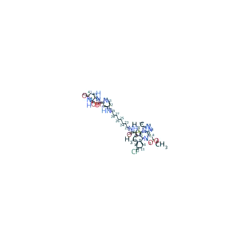 COC(=O)C[C@@H]1N=C(c2ccc(Cl)cc2)c2c(sc(C(=O)NCCCCCCCCNc3ccnc(C(=O)NC4CCC(=O)NC4O)c3)c2C)-n2c(C)nnc21